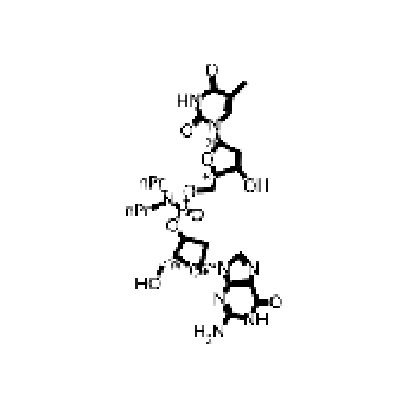 CCCN(CCC)P(=O)(OC[C@H]1O[C@@H](n2cc(C)c(=O)[nH]c2=O)CC1O)OC1C[C@H](n2cnc3c(=O)[nH]c(N)nc32)O[C@@H]1CO